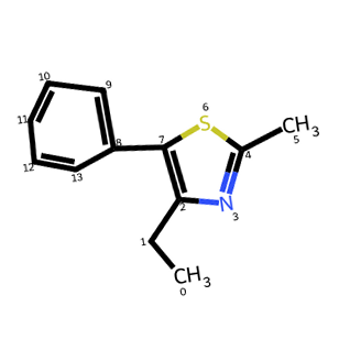 CCc1nc(C)sc1-c1ccccc1